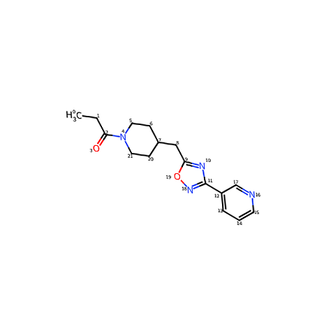 CCC(=O)N1CCC(Cc2nc(-c3cccnc3)no2)CC1